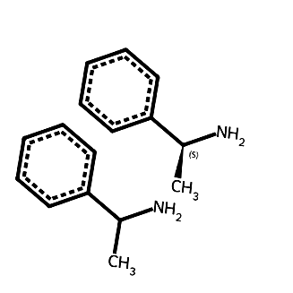 CC(N)c1ccccc1.C[C@H](N)c1ccccc1